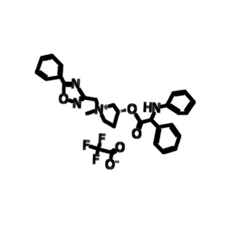 C[N+]1(Cc2noc(-c3ccccc3)n2)CC[C@@H](OC(=O)C(Nc2ccccc2)c2ccccc2)C1.O=C([O-])C(F)(F)F